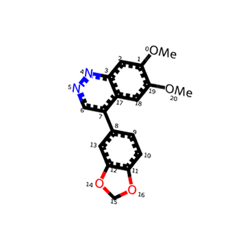 COc1cc2nncc(-c3ccc4c(c3)OCO4)c2cc1OC